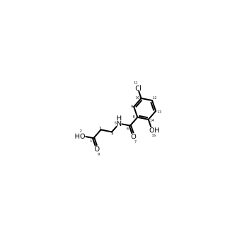 O=C(O)CCNC(=O)c1cc(Cl)ccc1O